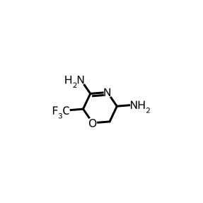 NC1=NC(N)COC1C(F)(F)F